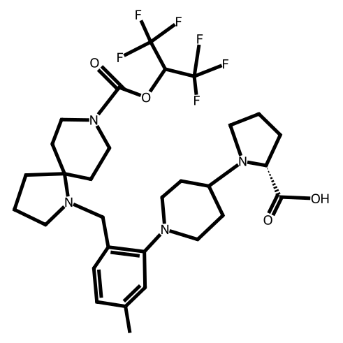 Cc1ccc(CN2CCCC23CCN(C(=O)OC(C(F)(F)F)C(F)(F)F)CC3)c(N2CCC(N3CCC[C@@H]3C(=O)O)CC2)c1